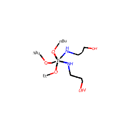 CCCC[O][Ti]([NH]CCO)([NH]CCO)([O]CC)[O]CCCC